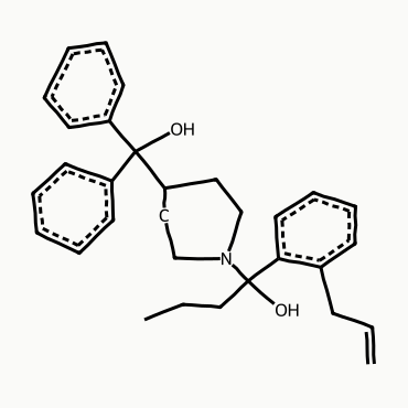 C=CCc1ccccc1C(O)(CCC)N1CCC(C(O)(c2ccccc2)c2ccccc2)CC1